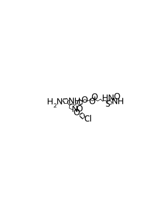 Nc1ccc2[nH]c3c(c2c1)CCN(C(=O)Oc1ccc(Cl)cc1)C3c1ccc(OCCOC(=O)CCCCC2SCC3NC(=O)NC32)cc1